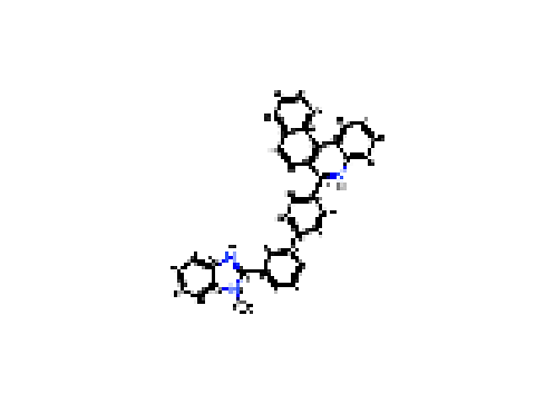 CCn1c(-c2cccc(-c3ccc(-c4nc5ccccc5c5c4ccc4ccccc45)cc3)c2)nc2ccccc21